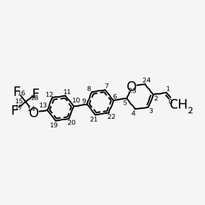 C=CC1=CCC(c2ccc(-c3ccc(OC(F)(F)F)cc3)cc2)OC1